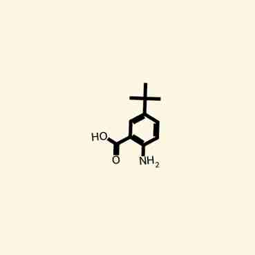 CC(C)(C)c1ccc(N)c(C(=O)O)c1